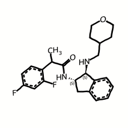 CC(C(=O)N[C@H]1Cc2ccccc2[C@@H]1NCC1CCOCC1)c1ccc(F)cc1F